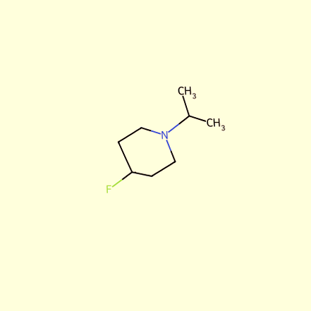 CC(C)N1CC[C](F)CC1